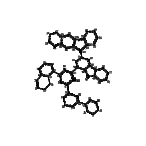 C1=Cc2cccc(-c3nc(-c4cccc(-c5ccccc5)c4)nc(-c4cc(-n5c6ccccc6c6cc7ccccc7cc65)cc5c4oc4ccccc45)n3)c2CC1